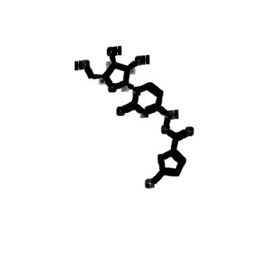 O=C(ONc1ccn([C@@H]2O[C@H](CO)[C@@H](O)[C@H]2O)c(=O)n1)c1ccc(Cl)s1